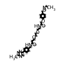 C/C=N\OCc1ccc(OCC(=O)NCCOCCOCCC(=O)NCc2ccc(-c3nnc(C)nn3)cc2)cc1